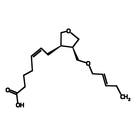 CCC=CCOC[C@@H]1COC[C@@H]1C/C=C\CCCC(=O)O